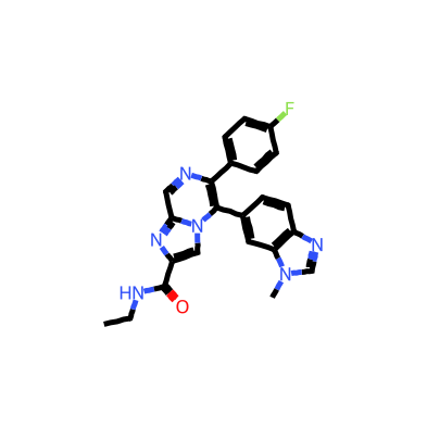 CCNC(=O)c1cn2c(-c3ccc4ncn(C)c4c3)c(-c3ccc(F)cc3)ncc2n1